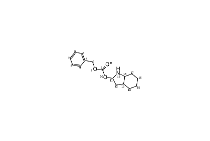 O=C(OCc1ccccc1)OC1CC2CCCCC2N1